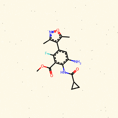 COC(=O)c1c(F)c(-c2c(C)noc2C)cc(N)c1NC(=O)C1CC1